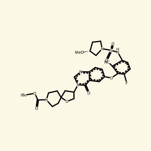 CO[C@@H]1CCN(S(=O)(=O)Nc2ccc(F)c(Oc3ccc4ncn(C5COC6(CCN(C(=O)OC(C)(C)C)CC6)C5)c(=O)c4c3)c2C#N)C1